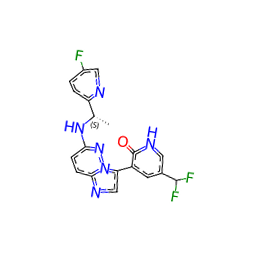 C[C@H](Nc1ccc2ncc(-c3cc(C(F)F)c[nH]c3=O)n2n1)c1ccc(F)cn1